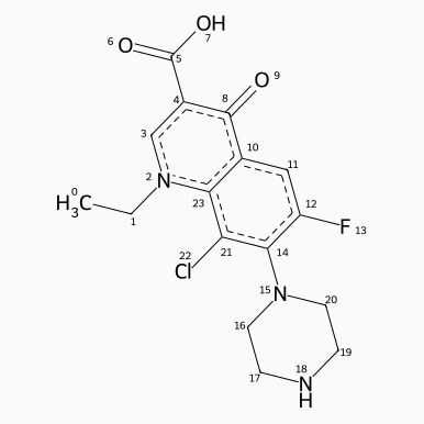 CCn1cc(C(=O)O)c(=O)c2cc(F)c(N3CCNCC3)c(Cl)c21